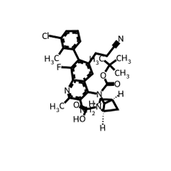 Cc1nc2c(F)c(-c3cccc(Cl)c3C)c(CCC#N)cc2c(N(C(=O)OC(C)(C)C)[C@H]2[C@@H]3C[C@H]2N(C(=O)O)C3)c1N